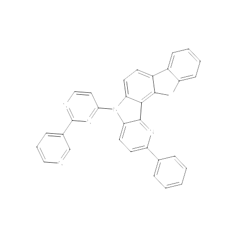 c1ccc(-c2ccc3c(n2)c2c4sc5ccccc5c4ccc2n3-c2ccnc(-c3cccnc3)n2)cc1